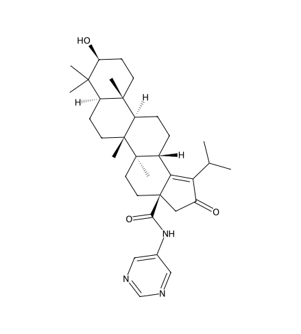 CC(C)C1=C2[C@H]3CC[C@@H]4[C@@]5(C)CC[C@H](O)C(C)(C)[C@@H]5CC[C@@]4(C)[C@]3(C)CC[C@@]2(C(=O)Nc2cncnc2)CC1=O